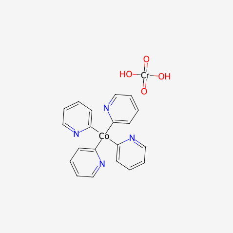 [O]=[Cr](=[O])([OH])[OH].c1cc[c]([Co]([c]2ccccn2)([c]2ccccn2)[c]2ccccn2)nc1